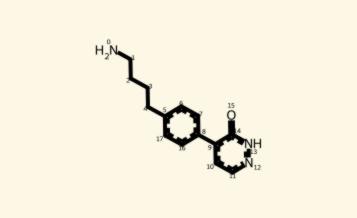 NCCCCc1ccc(-c2ccn[nH]c2=O)cc1